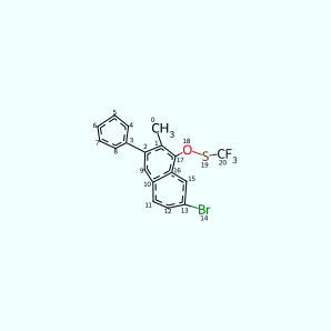 Cc1c(-c2ccccc2)cc2ccc(Br)cc2c1OSC(F)(F)F